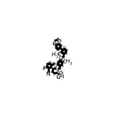 Cc1cc(CN2CCCC[C@H]2C(=O)O)c(OCc2ccc(F)c(C#N)c2)cc1OCc1cccc(-c2ccc3c(c2)OCCO3)c1C